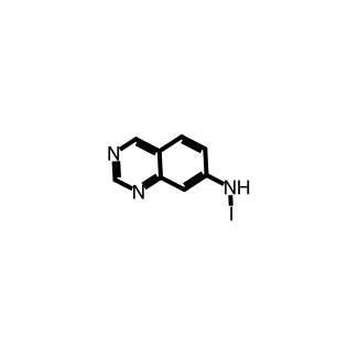 INc1ccc2cncnc2c1